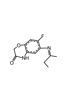 CCC(C)=Nc1cc2c(cc1F)OCC(=O)N2